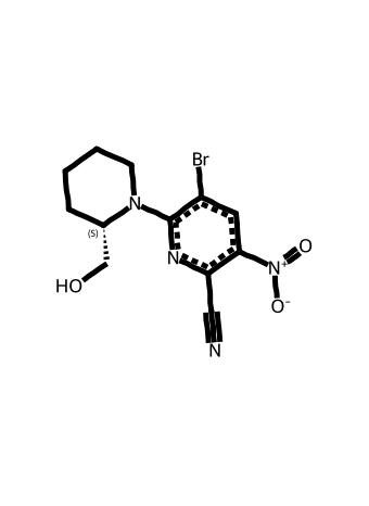 N#Cc1nc(N2CCCC[C@H]2CO)c(Br)cc1[N+](=O)[O-]